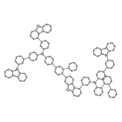 c1ccc(-c2cc(-c3ccc(N(c4ccc(-c5cccc(-n6c7ccccc7c7ccccc76)c5)cc4)c4cccc(-c5cccc6oc7ccccc7c56)c4)cc3)ccc2-c2ccc3c(c2)oc2cccc(-c4cccc(N(c5ccc(-c6cccc(-n7c8ccccc8c8ccccc87)c6)cc5)c5ccccc5-c5ccccc5-c5ccccc5)c4)c23)cc1